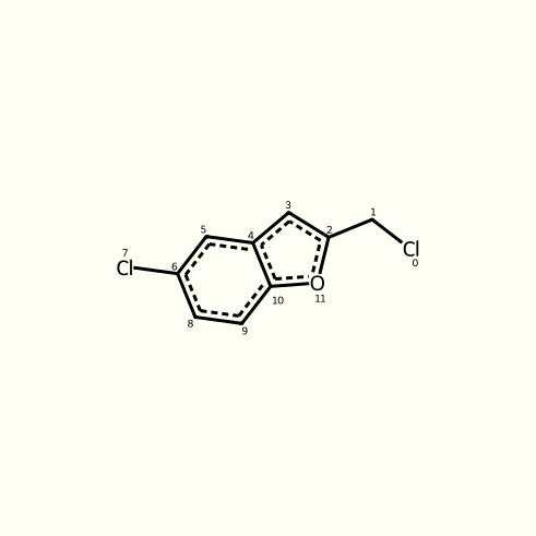 ClCc1cc2cc(Cl)ccc2o1